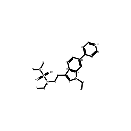 CCN(CCc1cn(CC)c2cc(-c3ccncc3)ccc12)S(=O)(=O)N(C)C